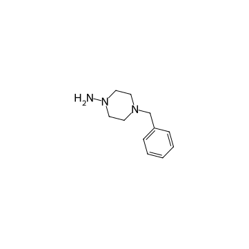 NN1CCN(Cc2ccccc2)CC1